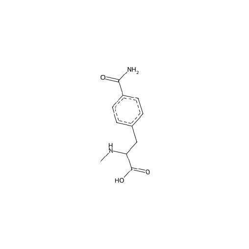 CNC(Cc1ccc(C(N)=O)cc1)C(=O)O